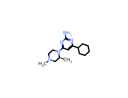 C[C@H]1CN(C)CCN1c1cc(C2CCCCC2)nc(N)n1